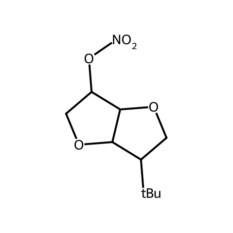 CC(C)(C)C1COC2C(O[N+](=O)[O-])COC21